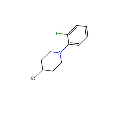 CCC1CCN(c2ccccc2F)CC1